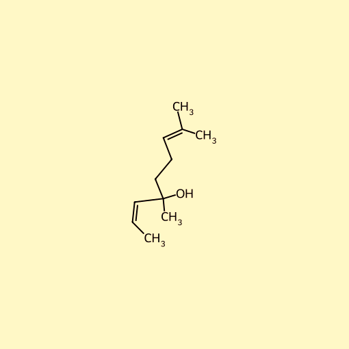 C/C=C\C(C)(O)CCC=C(C)C